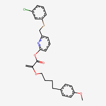 C=C(OCCCCc1ccc(OC)cc1)C(=O)Oc1cccc(CSc2cccc(Cl)c2)n1